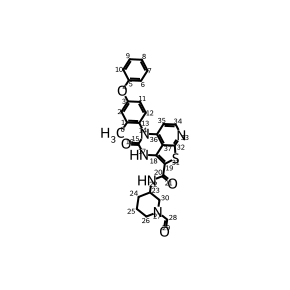 Cc1cc(Oc2ccccc2)ccc1N1C(=O)Nc2c(C(=O)NC3CCCN(C=O)C3)sc3nccc1c23